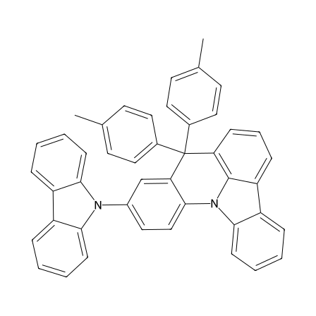 Cc1ccc(C2(c3ccc(C)cc3)c3cc(-n4c5ccccc5c5ccccc54)ccc3-n3c4ccccc4c4cccc2c43)cc1